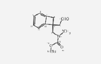 CN(CC1(CC=O)Cc2ccccc21)C(=O)OC(C)(C)C